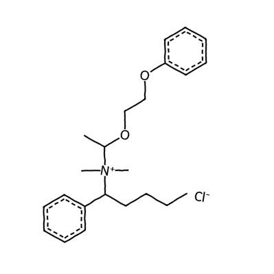 CCCCC(c1ccccc1)[N+](C)(C)C(C)OCCOc1ccccc1.[Cl-]